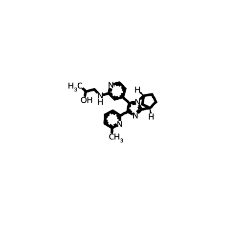 Cc1cccc(-c2nc3n(c2-c2ccnc(NCC(C)O)c2)[C@@H]2CC[C@H]3C2)n1